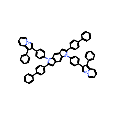 c1ccc(-c2ccc(-c3cc4cc5c(cc(-c6ccc(-c7ccccc7)cc6)n5-c5ccc(-c6cn7ccccc7c6-c6ccccc6)cc5)cc4n3-c3ccc(-c4cn5ccccc5c4-c4ccccc4)cc3)cc2)cc1